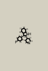 Fc1ccc(-c2c(-c3ccncc3)[nH]c3ccccc23)cc1